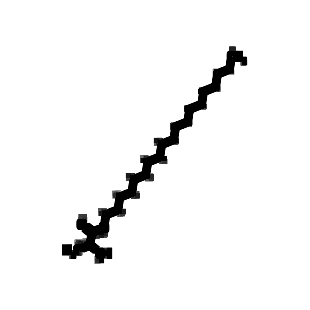 CCCCCCCCCCCCCCCCCCCOC(=O)C(C)O